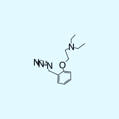 CCN(CC)CCOc1ccccc1CN=[N+]=[N-]